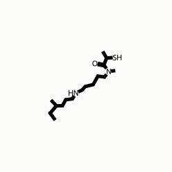 CCC(C)CCCNCCCCCN(C)C(=O)C(C)S